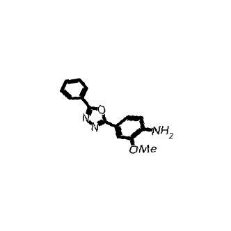 COc1cc(-c2nnc(-c3ccccc3)o2)ccc1N